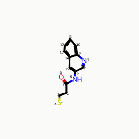 O=C(CC[S])Nc1cnc2ccccc2c1